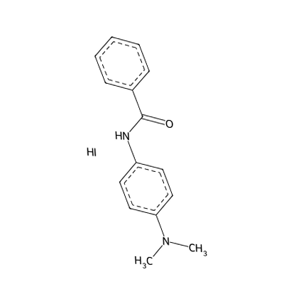 CN(C)c1ccc(NC(=O)c2ccccc2)cc1.I